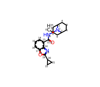 CCN1C2CCCC1CC(NC(=O)c1cccc3oc(C4CC4)nc13)C2